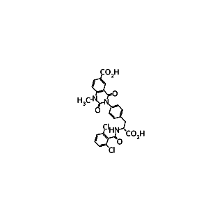 Cn1c(=O)n(-c2ccc(C[C@H](NC(=O)c3c(Cl)cccc3Cl)C(=O)O)cc2)c(=O)c2cc(C(=O)O)ccc21